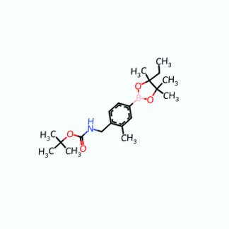 CCC1(C)OB(c2ccc(CNC(=O)OC(C)(C)C)c(C)c2)OC1(C)C